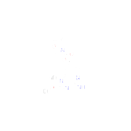 CCCn1c(COCC)nc2c(N)nc3ccc(OC(=O)N4CCCOC4)cc3c21